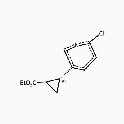 CCOC(=O)C1C[C@H]1c1ccc(Cl)nc1